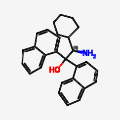 N[C@H](C1CCCCC1)C(O)(c1cccc2ccccc12)c1cccc2ccccc12